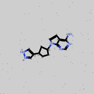 Nc1ncnc2c1ccn2C1CCC(c2cn[nH]c2)C1